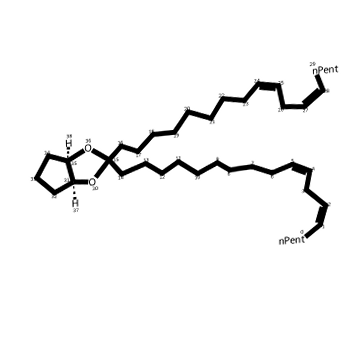 CCCCC/C=C\C/C=C\CCCCCCCCCC1(CCCCCCCC/C=C\C/C=C\CCCCC)O[C@H]2CCC[C@H]2O1